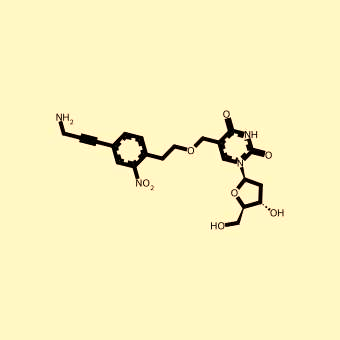 NCC#Cc1ccc(CCOCc2cn([C@H]3C[C@H](O)[C@@H](CO)O3)c(=O)[nH]c2=O)c([N+](=O)[O-])c1